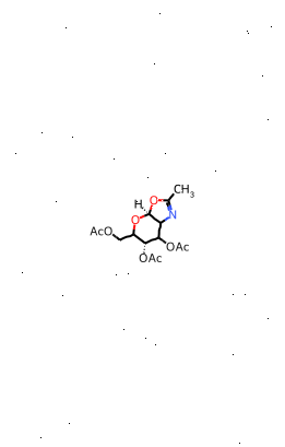 CC(=O)OCC1O[C@H]2OC(C)=NC2C(OC(C)=O)[C@@H]1OC(C)=O